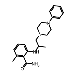 Cc1cccc(NC(C)CN2CCN(c3ccccc3)CC2)c1C(N)=O